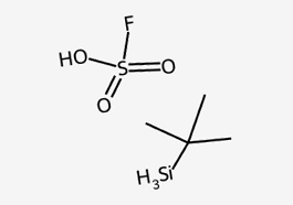 CC(C)(C)[SiH3].O=S(=O)(O)F